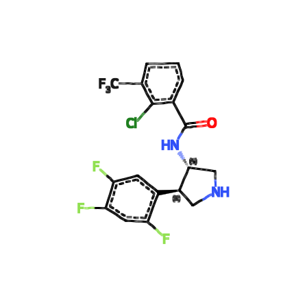 O=C(N[C@@H]1CNC[C@H]1c1cc(F)c(F)cc1F)c1cccc(C(F)(F)F)c1Cl